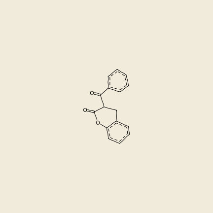 O=C1Oc2ccccc2CC1C(=O)c1ccccc1